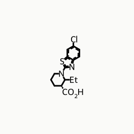 CCC1[C@@H](C(=O)O)CCCN1c1nc2ccc(Cl)cc2s1